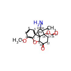 COc1cccc2c1OC1C(=O)CCC3(OC=O)C(C)C(N)CCC213